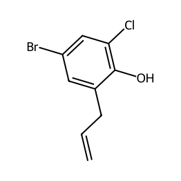 C=CCc1cc(Br)cc(Cl)c1O